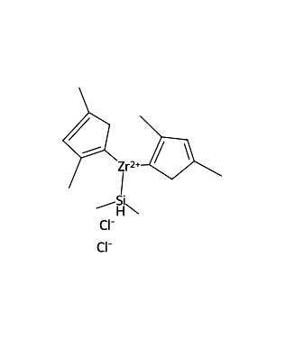 CC1=CC(C)=[C]([Zr+2]([C]2=C(C)C=C(C)C2)[SiH](C)C)C1.[Cl-].[Cl-]